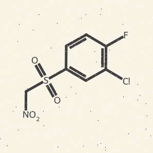 O=[N+]([O-])CS(=O)(=O)c1ccc(F)c(Cl)c1